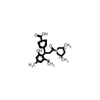 COc1cc(C)cc(O)c1C(CC(=O)N1C[C@H](C)C[C@H](C)C1)c1ccc(C(=O)O)cc1